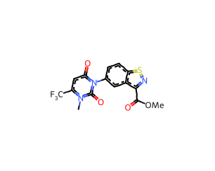 COC(=O)c1nsc2ccc(-n3c(=O)cc(C(F)(F)F)n(C)c3=O)cc12